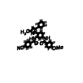 COc1ccc(C(=O)Nc2ccc(-n3nc(C)cc3-c3ccccc3)c(NC(=O)c3ccc(C#N)cc3)c2)cc1